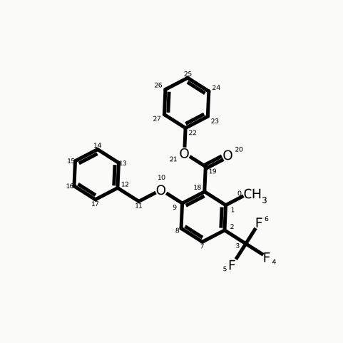 Cc1c(C(F)(F)F)ccc(OCc2ccccc2)c1C(=O)Oc1ccccc1